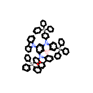 c1ccc(-c2cccc3c2N(c2ccc([Si](c4ccccc4)(c4ccccc4)c4ccccc4)cc2)c2cc(-n4c5ccccc5c5ccccc54)cc4c2B3c2cc([Si](c3ccccc3)(c3ccccc3)c3ccccc3)ccc2N4c2ccc([Si](c3ccccc3)(c3ccccc3)c3ccccc3)cc2)cc1